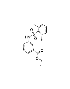 CCOC(=O)c1cccc(NS(=O)(=O)c2c(F)cccc2F)c1